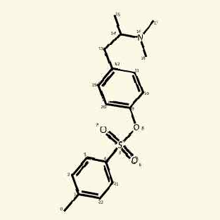 Cc1ccc(S(=O)(=O)Oc2ccc(CC(C)N(C)C)cc2)cc1